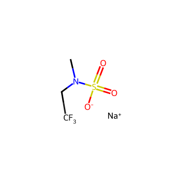 CN(CC(F)(F)F)S(=O)(=O)[O-].[Na+]